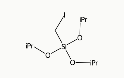 CC(C)O[Si](CI)(OC(C)C)OC(C)C